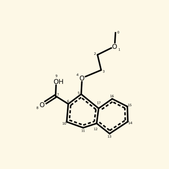 COCCOc1c(C(=O)O)ccc2ccccc12